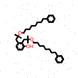 CC(C)(Cc1cccc(O)c1CC(C)(C)OCCCCCCCCc1ccccc1)OCCCCCCCCc1ccccc1